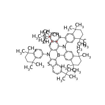 CC(C)(C)c1cc2c3c(c1)N(c1ccc4c(c1)C(C)(C)CCC4(C)C)c1sc4ccc(C(C)(C)C)cc4c1B3c1cc3c(cc1N2c1cc2c(cc1-c1ccc([Si](C)(C)C)cc1)C(C)(C)CCC2(C)C)C(C)(C)CCC3(C)C